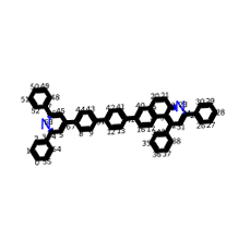 c1ccc(-c2cc(-c3ccc(-c4ccc(-c5ccc6c(ccc7nc(-c8ccccc8)cc(-c8ccccc8)c76)c5)cc4)cc3)cc(-c3ccccc3)n2)cc1